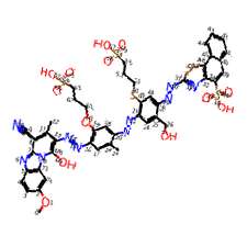 COc1ccc2nc3c(C#N)c(C)c(N=Nc4cc(C)c(N=Nc5cc(CO)c(N=Nc6nc7c(S(=O)(=O)O)cc8ccccc8c7s6)cc5SCCCS(=O)(=O)O)cc4OCCCS(=O)(=O)O)c(O)n3c2c1